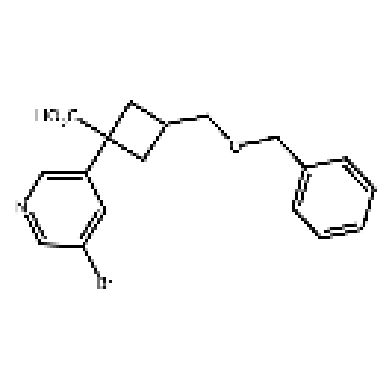 O=C(O)C1(c2cncc(Br)c2)CC(COCc2ccccc2)C1